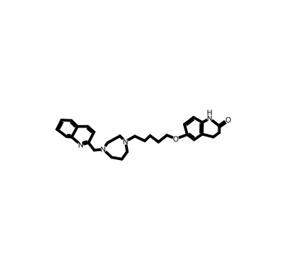 O=C1CCc2cc(OCCCCCN3CCCN(Cc4ccc5ccccc5n4)CC3)ccc2N1